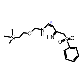 C[Si](C)(C)CCOCN/C=C\C(=N)CS(=O)(=O)c1ccccc1